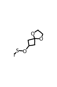 ISOC1CC2(C1)OCCO2